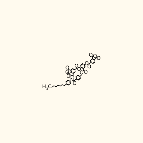 CCCCCCCCc1ccc(NC(=O)c2ccc(COC(=O)c3cc(OC(=O)c4ccc5c(c4)C(=O)OC5=O)ccc3OC(=O)c3ccc4c(c3)C(=O)OC4=O)cc2)cc1